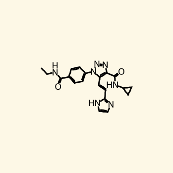 CCNC(=O)c1ccc(-n2nnc(C(=O)NC3CC3)c2C=Cc2ncc[nH]2)cc1